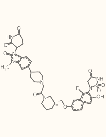 Cn1c(=O)n(C2CCC(=O)NC2=O)c2ccc(C3CCN(CC(=O)N4CCC[C@@H](COc5ccc6cc(O)c(N7CC(=O)NS7(=O)=O)c(F)c6c5)C4)CC3)cc21